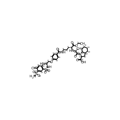 CCOC(=O)[C@H](CCCNC(=O)c1ccc(OCC2Nc3cc(Cl)c(S(N)(=O)=O)cc3S(=O)(=O)N2)cc1)N[C@@H](C)C(=O)N1C(C(=O)O)CC2CCCCC21